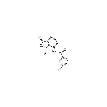 O=C(Nc1ccnc2c1C(=O)OC2=O)c1ccc(Cl)s1